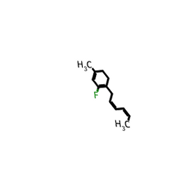 C/C=C\C=C/CC1=C(F)C=C(C)CC1